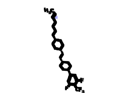 C/C=C/CCCC[C@H]1CC[C@H](CC[C@H]2CC[C@H](c3cc(F)c(C(F)(F)F)c(F)c3)CC2)CC1